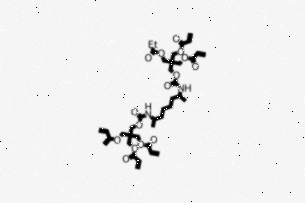 C=CC(=C)OCC(COC(=O)C=C)(COC(=O)C=C)COC(=O)NC(C)CCCCC(C)NC(=O)OCC(COC(=O)C=C)(COC(=O)C=C)COC(=O)CC